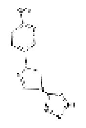 COc1ccc(N2CN(c3c[nH]nn3)[C]=N2)cc1